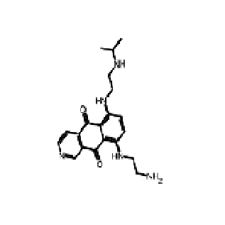 CC(C)NCCNc1ccc(NCCN)c2c1C(=O)c1ccncc1C2=O